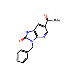 COC(=O)c1cnc2c(c1)[nH]c(=O)n2Cc1ccccc1